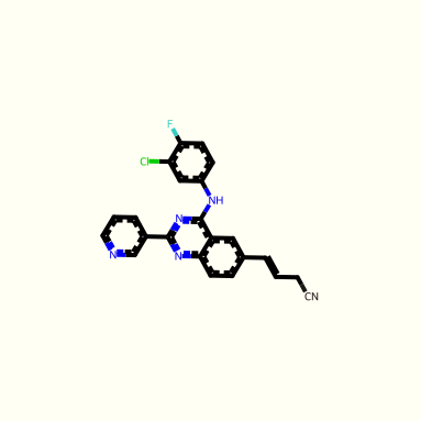 N#CCC=Cc1ccc2nc(-c3cccnc3)nc(Nc3ccc(F)c(Cl)c3)c2c1